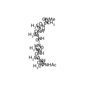 CNC(=O)c1cc(NC(=O)c2cc(NC(=O)c3cc(NC(=O)CCCNC(=O)c4nc(NC(=O)c5cc(NC(=O)c6nc(NC(C)=O)cn6C)cn5C)cn4C)cn3C)cn2C)cn1C